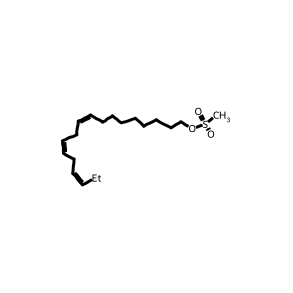 CC/C=C\C/C=C\C/C=C\CCCCCCCCOS(C)(=O)=O